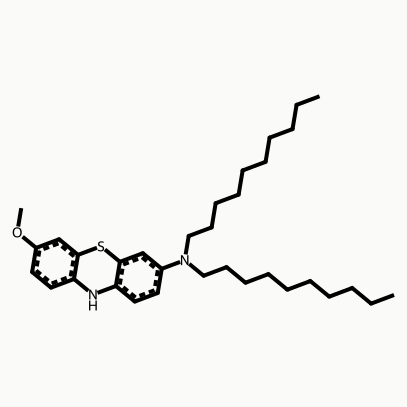 CCCCCCCCCCN(CCCCCCCCCC)c1ccc2c(c1)Sc1cc(OC)ccc1N2